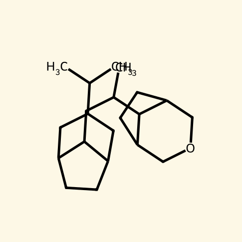 CC(C)C1CC2CCC(C1)C2CC(C)C1C2CCC1COC2